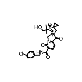 CC(C)(CO)S(=O)(=O)C1(CN2CCn3c(ccc(C(=O)NCc4ccc(Cl)cc4)c3=O)C2=O)CC1